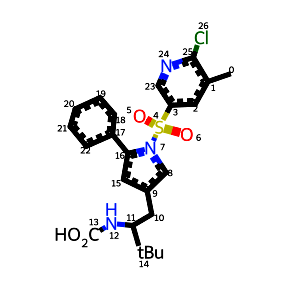 Cc1cc(S(=O)(=O)n2cc(CC(NC(=O)O)C(C)(C)C)cc2-c2ccccc2)cnc1Cl